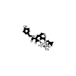 CN(C#N)S(=O)(=O)C1(COc2nncc3cc(C(=O)NCc4ccc(C#N)cc4)c(=O)n(C)c23)CC1